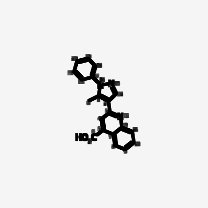 Cc1c(-c2cc(C(=O)O)c3ccccc3n2)cnn1-c1ccccc1